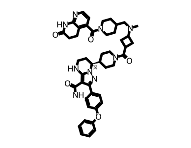 CN(CC1CCN(C(=O)c2ccnc3c2CCC(=O)N3)CC1)C1CC(C(=O)N2CCC([C@@H]3CCNc4c(C(N)=O)c(-c5ccc(Oc6ccccc6)cc5)nn43)CC2)C1